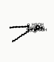 C#CC#CC#CC#CC#CC#CC(=O)OC[C@H](COP(=O)(O)OC1C(O)[C@@H](O)C(O)[C@@H](OP(=O)(O)O)[C@H]1O)OC(=O)CCCCCCCCCCCCCCC